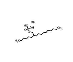 CCCCCCCCCCC(CCCCCC)COP(=O)(O)O.[KH]